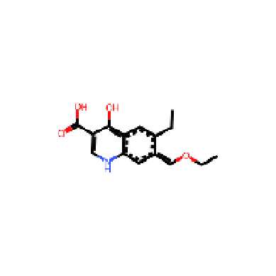 CCO/C=c1/cc2c(cc1CC)=C(O)C(C(=O)O)=CN2